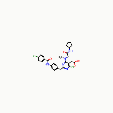 CN(CC(=O)NC1CCCC1)c1nc(Cc2ccc(NC(=O)c3ccc(Cl)cc3)cc2)nc(Cl)c1CC(=O)O